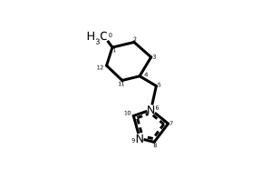 CC1CCC(Cn2ccnc2)CC1